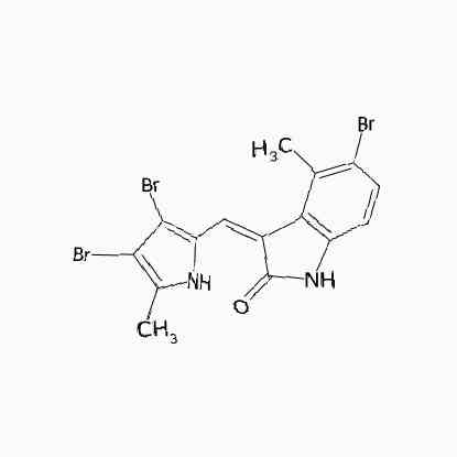 Cc1[nH]c(C=C2C(=O)Nc3ccc(Br)c(C)c32)c(Br)c1Br